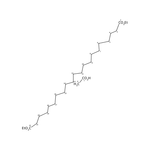 CC(=O)O.CCOC(=O)CCCCCCCCCCCCCCCCCCCC(=O)OCC